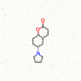 O=c1ccc2cc(-n3cccc3)ccc2o1